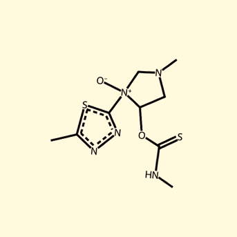 CNC(=S)OC1CN(C)C[N+]1([O-])c1nnc(C)s1